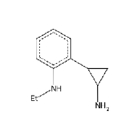 CCNc1ccccc1C1CC1N